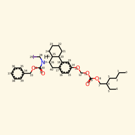 CCCCC(CC)COC(=O)OCOc1ccc2c(c1)C1CCCC[C@@H]1[C@@H](N(CI)C(=O)OCc1ccccc1)C2